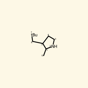 CC1NCCC1CC(C)(C)C